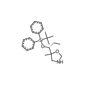 CC[C@@H](O[Si](c1ccccc1)(c1ccccc1)C(C)(C)C)C1(C)CNCO1